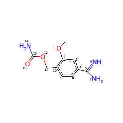 COc1cc(C(=N)N)ccc1COC(N)=O